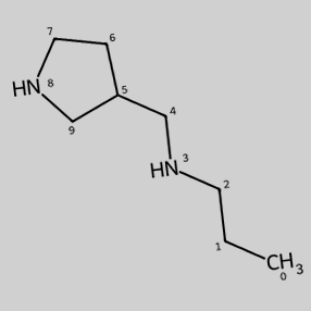 CCCNCC1CCNC1